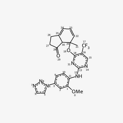 COc1cc(-n2ccnn2)ccc1Nc1ncc(C(F)(F)F)c(OC2(C)C=CC=C3CCC(=O)C32)n1